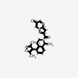 Cc1noc(C)c1-c1cccc2c1CCN(C(=O)c1cc3ncc(Cl)cn3n1)C2C